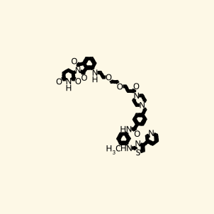 Cc1ccc(NC(=O)c2ccc(CN3CCN(C(=O)CCOCCOCCNc4cccc5c4C(=O)N(C4CCC(=O)NC4=O)C5=O)CC3)cc2)cc1Nc1nc(-c2cccnc2)cs1